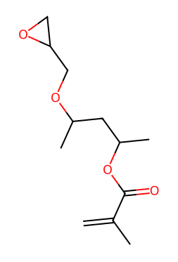 C=C(C)C(=O)OC(C)CC(C)OCC1CO1